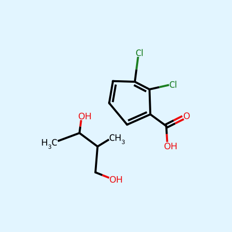 CC(O)C(C)CO.O=C(O)c1cccc(Cl)c1Cl